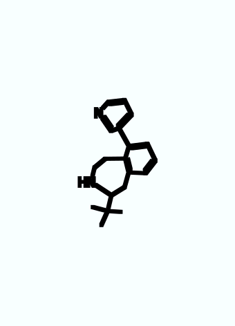 CC(C)(C)C1Cc2cccc(-c3cccnc3)c2CCN1